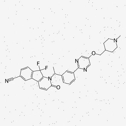 CC(c1cccc(-c2ncc(OCC3CCN(C)CC3)cn2)c1)n1c2c(ccc1=O)-c1cc(C#N)ccc1C2(F)F